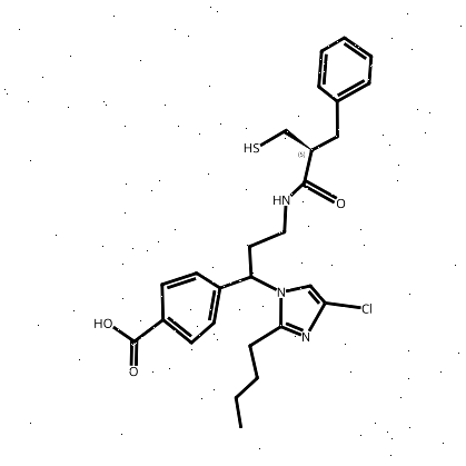 CCCCc1nc(Cl)cn1C(CCNC(=O)[C@@H](CS)Cc1ccccc1)c1ccc(C(=O)O)cc1